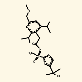 COCc1cc(C(C)C)c(CC(=O)N=S(N)(=O)c2ncc(C(C)(C)O)s2)c(C(C)C)n1